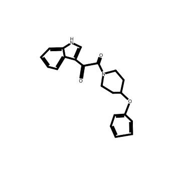 O=C(C(=O)N1CCC(Oc2ccccc2)CC1)c1c[nH]c2ccccc12